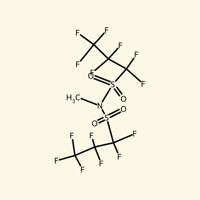 CN(S(=O)(=O)C(F)(F)C(F)(F)C(F)(F)F)S(=O)(=O)C(F)(F)C(F)(F)C(F)(F)F